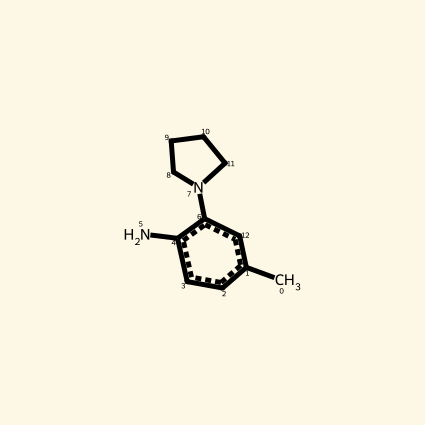 Cc1ccc(N)c(N2CCCC2)c1